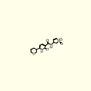 O=C(NC1C=CS(=O)(=O)C1)c1ccc(C2CCCOC2)[nH]c1=O